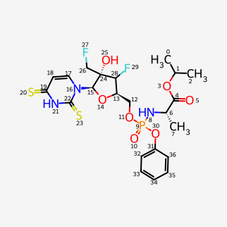 CC(C)OC(=O)[C@H](C)NP(=O)(OC[C@H]1O[C@@H](n2ccc(=S)[nH]c2=S)[C@@](O)(CF)C1F)Oc1ccccc1